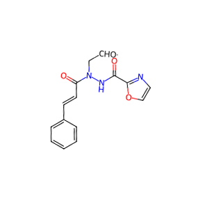 O=[C]CN(NC(=O)c1ncco1)C(=O)C=Cc1ccccc1